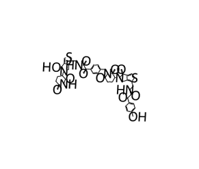 O=C1CCC(N2Cc3c(csc3CNC(=O)C(=O)c3ccc(CN4C(=O)CCC(N5Cc6c(csc6CNC(=O)C(=O)c6ccc(O)cc6)C5=O)C4=O)cc3)C2O)C(=O)N1